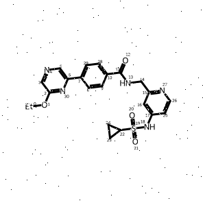 CCOc1cncc(-c2ccc(C(=O)NCc3cc(NS(=O)(=O)C4CC4)ccn3)cc2)n1